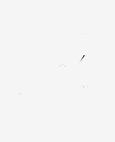 CC(C(=O)O)[C@@H]1Nc2ccc(C(=O)O)cc2CNC1=O